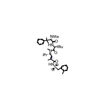 CN[C@H](C(=O)NC(C(=O)N(C)[C@H](/C=C(\C)C(=O)NS(=O)(=O)Cc1ccccc1C)C(C)C)C(C)(C)C)C(C)(C)c1ccccc1